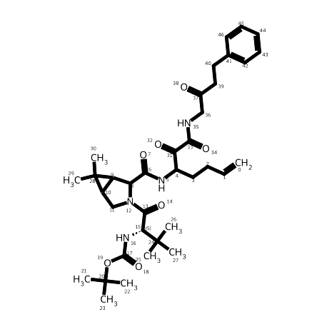 C=CCCC(NC(=O)C1C2C(CN1C(=O)[C@@H](NC(=O)OC(C)(C)C)C(C)(C)C)C2(C)C)C(=O)C(=O)NCC(=O)CCc1ccccc1